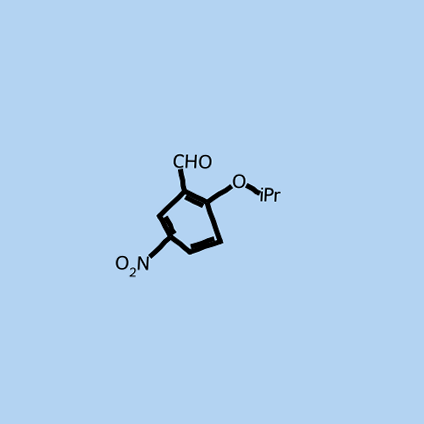 CC(C)Oc1ccc([N+](=O)[O-])cc1C=O